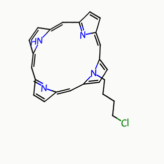 ClCCCCn1c2ccc1cc1nc(cc3ccc(cc4nc(c2)C=C4)[nH]3)C=C1